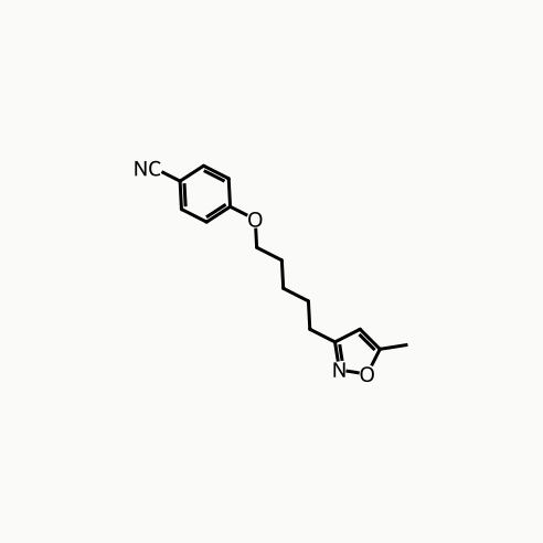 Cc1cc(CCCCCOc2ccc(C#N)cc2)no1